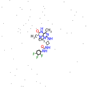 Cc1nc(N[C@H]2C[C@@H](NC(=O)Nc3ccc(F)c(F)c3F)C2)nc2c1NC(=O)[C@H](C)N2C